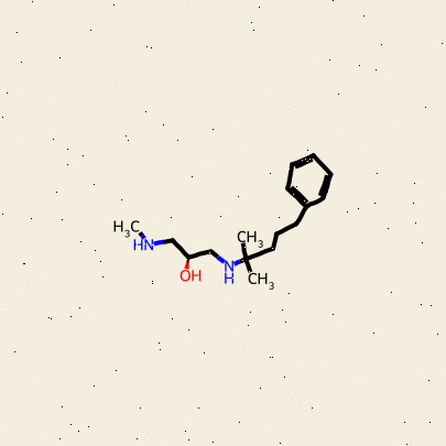 CNC[C@H](O)CNC(C)(C)CCCc1ccccc1